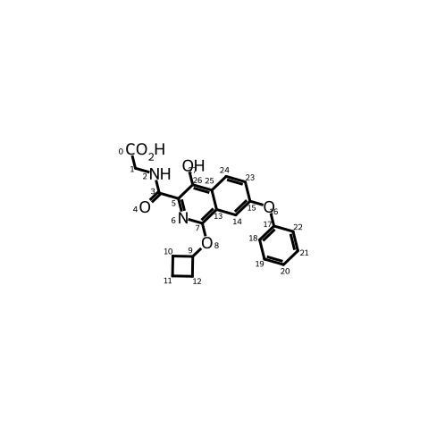 O=C(O)CNC(=O)c1nc(OC2CCC2)c2cc(Oc3ccccc3)ccc2c1O